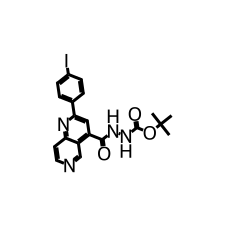 CC(C)(C)OC(=O)NNC(=O)c1cc(-c2ccc(I)cc2)nc2ccncc12